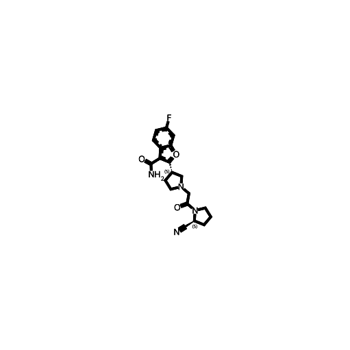 N#C[C@@H]1CCCN1C(=O)CN1CC[C@H](c2oc3cc(F)ccc3c2C(N)=O)C1